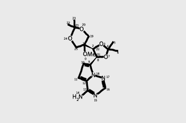 COC1([C@H]2OC(C)(C)O[C@H]2c2ccc3c(N)ncnn23)COC(C)(C)OC1